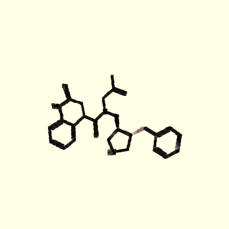 C=C(C)CN(C[C@@H]1CNC[C@H]1Cc1ccccc1)C(=O)C1CC(=O)Nc2ccccc21